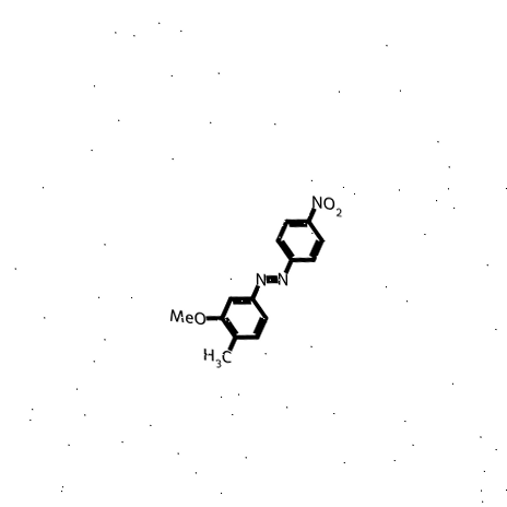 COc1cc(N=Nc2ccc([N+](=O)[O-])cc2)ccc1C